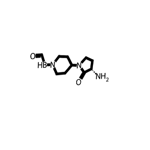 N[C@H]1CCN(C2CCN(BC=O)CC2)C1=O